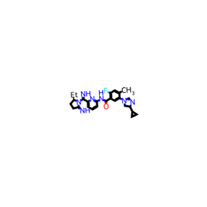 CC[C@@H]1CCC(=N)N1C(=N)c1cccc(NC(=O)c2cc(N3C=NC(C4CC4)C3)c(C)cc2F)n1